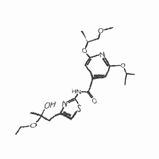 CCOC(C)(O)Cc1csc(NC(=O)c2cc(OC(C)C)nc(O[C@@H](C)COC)c2)n1